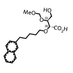 COCO[C@@H](CO)[C@@H](OCCCCCc1ccc2ccccc2c1)C(=O)O